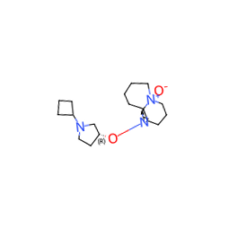 [O-][N+]12CCCCC13C=CN(O[C@@H]1CCN(C4CCC4)C1)C=C3CCC2